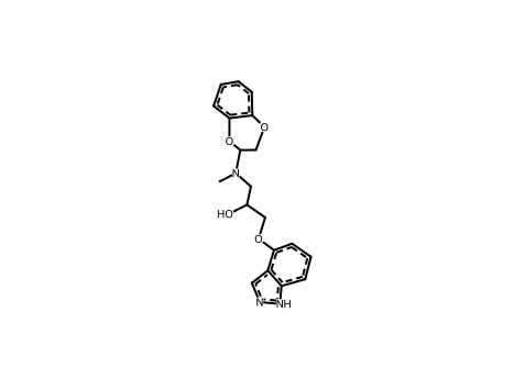 CN(CC(O)COc1cccc2[nH]ncc12)C1COc2ccccc2O1